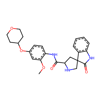 COc1cc(OC2CCOCC2)ccc1NC(=O)C1CC2(CN1)C(=O)Nc1ccccc12